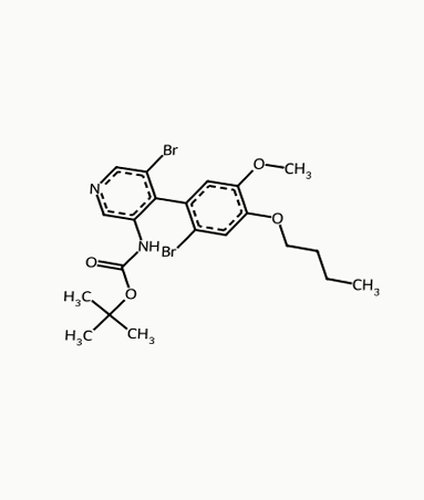 CCCCOc1cc(Br)c(-c2c(Br)cncc2NC(=O)OC(C)(C)C)cc1OC